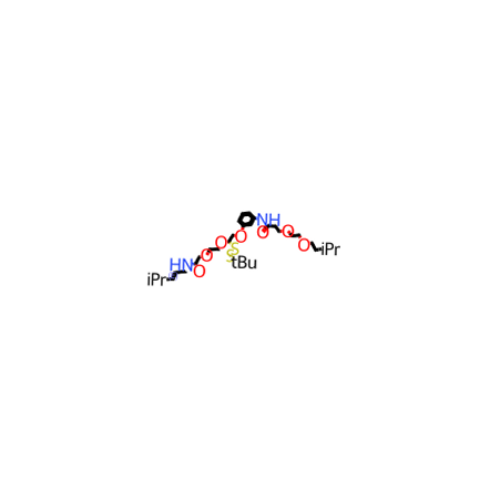 CC(C)/C=C/CNC(=O)COCCOC(COc1cccc(NC(=O)CCOCCOCCC(C)C)c1)SSC(C)(C)C